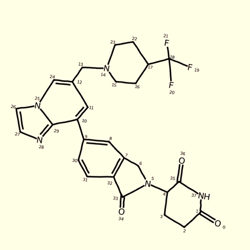 O=C1CCC(N2Cc3cc(-c4cc(CN5CCC(C(F)(F)F)CC5)cn5ccnc45)ccc3C2=O)C(=O)N1